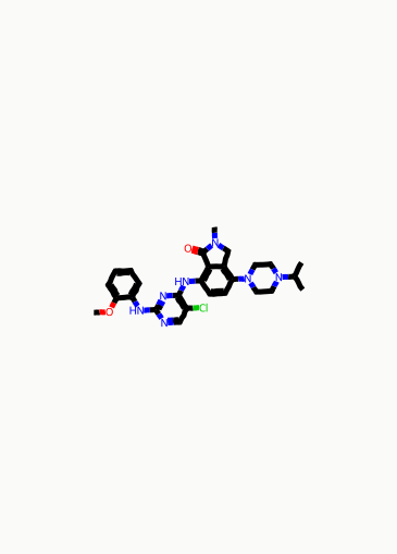 COc1ccccc1Nc1ncc(Cl)c(Nc2ccc(N3CCN(C(C)C)CC3)c3c2C(=O)N(C)C3)n1